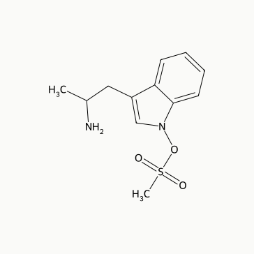 CC(N)Cc1cn(OS(C)(=O)=O)c2ccccc12